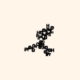 CC(C)OC(=O)OCOP(=O)(OCOC(O)OC(C)C)OC[C@H]1O[C@@H](n2ccc(=O)[nH]c2=O)[C@H](O)[C@@H]1CF